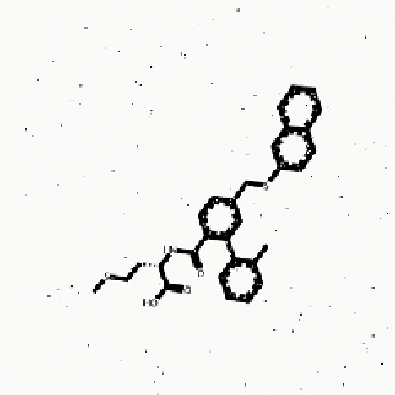 CSCC[C@H](NC(=O)c1ccc(CSc2ccc3ccccc3c2)cc1-c1ccccc1C)C(=O)O